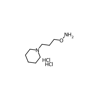 Cl.Cl.NOCCCN1CCCCC1